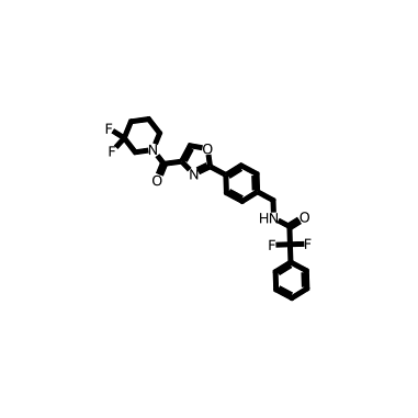 O=C(c1coc(-c2ccc(CNC(=O)C(F)(F)c3ccccc3)cc2)n1)N1CCCC(F)(F)C1